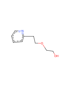 OCCOCCc1ccccn1